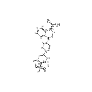 C[C@H]1CN(c2ccc(N3CCN(C(=O)O)c4ccccc43)cc2)C[C@H](C)N1S(C)(=O)=O